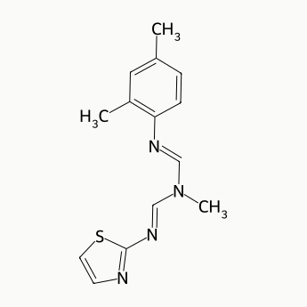 Cc1ccc(N=CN(C)C=Nc2nccs2)c(C)c1